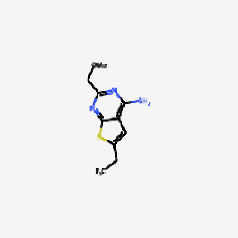 COCc1nc(N)c2cc(CC(F)(F)F)sc2n1